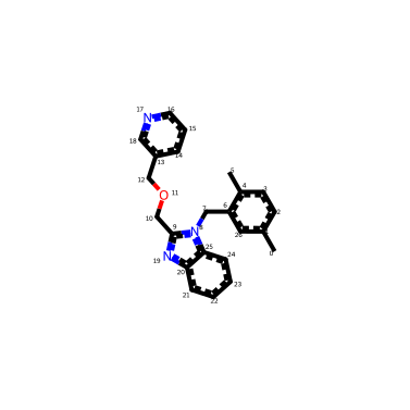 Cc1ccc(C)c(Cn2c(COCc3cccnc3)nc3ccccc32)c1